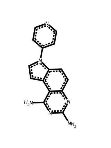 Nc1nc(N)c2c(ccc3c2ccn3-c2ccncc2)n1